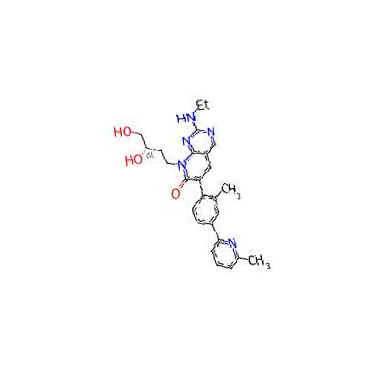 CCNc1ncc2cc(-c3ccc(-c4cccc(C)n4)cc3C)c(=O)n(CC[C@H](O)CO)c2n1